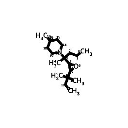 CCCC(C)(C1OC1C(C)(C)CC)N1CCC(C)CC1